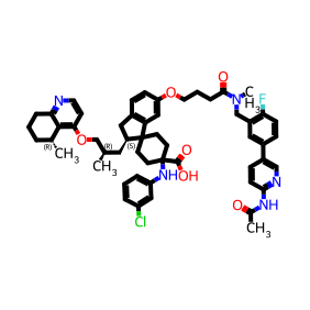 CC(=O)Nc1ccc(-c2ccc(F)c(CN(C)C(=O)CCCOc3ccc4c(c3)C3(CCC(Nc5cccc(Cl)c5)(C(=O)O)CC3)[C@@H](C[C@@H](C)COc3ccnc5c3[C@H](C)CCC5)C4)c2)cn1